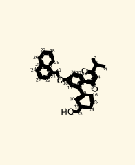 CC(C)c1cc(=O)c2c(C3=CC(CO)CC=C3)cc(OCc3cccc4ccccc34)cc2o1